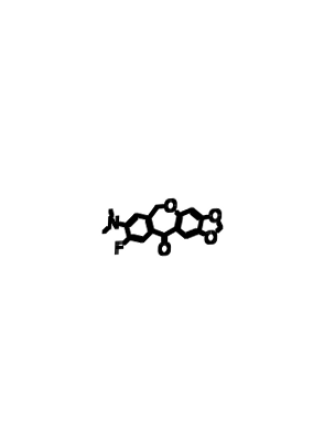 CN(C)c1cc2c(cc1F)C(=O)c1cc3c(cc1OC2)OCO3